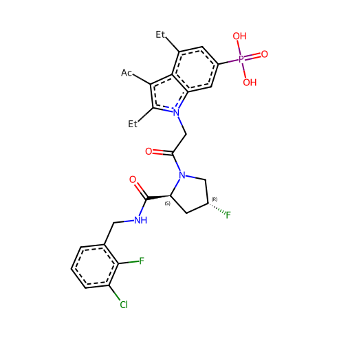 CCc1cc(P(=O)(O)O)cc2c1c(C(C)=O)c(CC)n2CC(=O)N1C[C@H](F)C[C@H]1C(=O)NCc1cccc(Cl)c1F